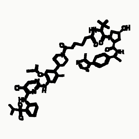 Cc1cc(Nc2ncc(Cl)c(Nc3ccccc3S(=O)(=O)C(C)C)n2)c(OC(C)C)cc1C1CCN(C(=O)CCCCC(=O)NC(C(=O)N2C[C@H](O)C[C@H]2C(=O)NC(C)c2ccc(-c3scnc3C)cc2)C(C)(C)C)CC1